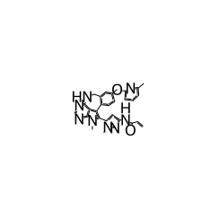 C=CC(=O)Nc1cc(-c2c3c4c(ncnc4n2C)NCc2cc(Oc4cccc(C)n4)ccc2-3)n(C)n1